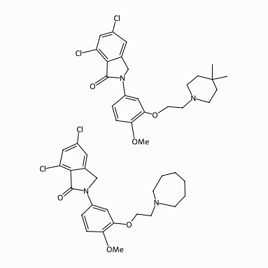 COc1ccc(N2Cc3cc(Cl)cc(Cl)c3C2=O)cc1OCCN1CCC(C)(C)CC1.COc1ccc(N2Cc3cc(Cl)cc(Cl)c3C2=O)cc1OCCN1CCCCCC1